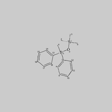 [CH3][Ti]([CH3])([CH3])[O][Ti]([CH3])([c]1ccccc1)[c]1ccccc1